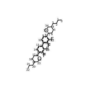 CCCCC1CCC(c2ccc(-c3ccc(C4CCC(CCC)CO4)c(F)c3F)c(F)c2F)OC1